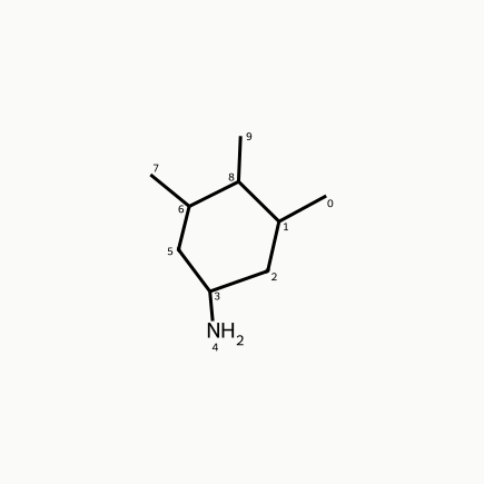 CC1CC(N)CC(C)C1C